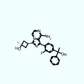 CC(O)(c1ccccc1)c1ccc(-c2nc([C@H]3C[C@@](C)(O)C3)n3ccnc(N)c23)c(F)c1